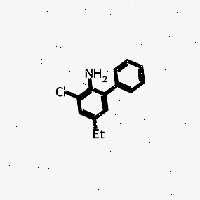 CCc1cc(Cl)c(N)c(-c2ccccc2)c1